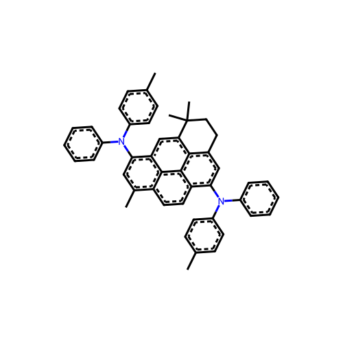 Cc1ccc(N(c2ccccc2)c2cc(C)c3ccc4c(N(c5ccccc5)c5ccc(C)cc5)cc5c6c(cc2c3c46)C(C)(C)CC5)cc1